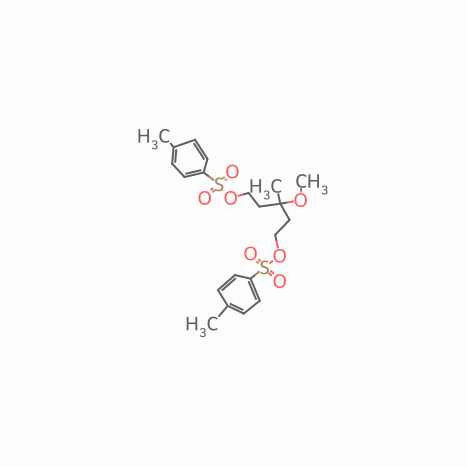 COC(C)(CCOS(=O)(=O)c1ccc(C)cc1)CCOS(=O)(=O)c1ccc(C)cc1